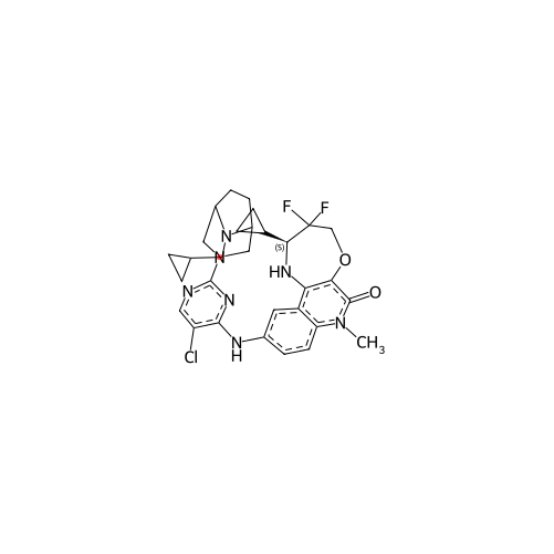 Cn1c(=O)c2c(c3cc(Nc4nc(N5CC6CCC(C5)N6CC5CC5)ncc4Cl)ccc31)N[C@@H](C1CC1)C(F)(F)CO2